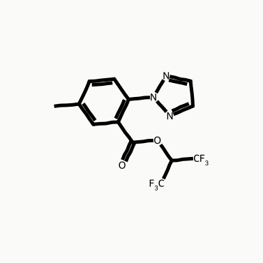 Cc1ccc(-n2nccn2)c(C(=O)OC(C(F)(F)F)C(F)(F)F)c1